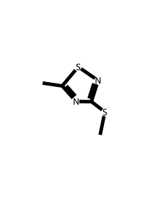 CSc1nsc(C)n1